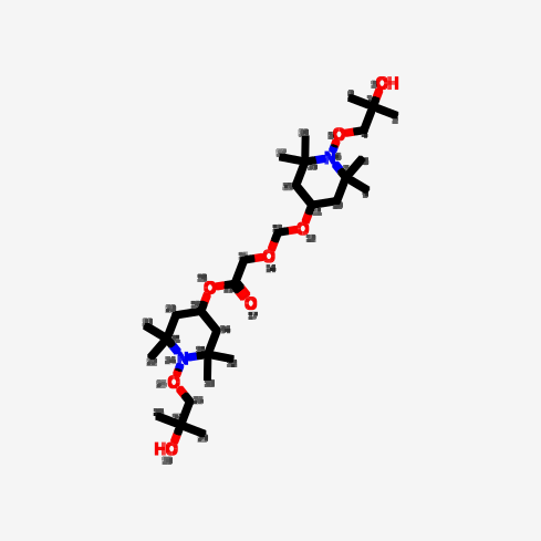 CC(C)(O)CON1C(C)(C)CC(OCOCC(=O)OC2CC(C)(C)N(OCC(C)(C)O)C(C)(C)C2)CC1(C)C